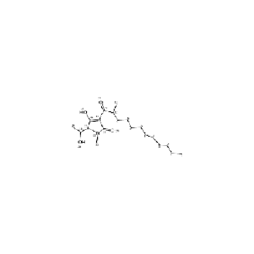 CCCCCCCCCCC(C)C(=O)C1=C(O)C(C(C)O)N(C)C1=O